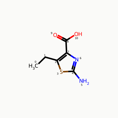 CCc1sc(N)nc1C(=O)O